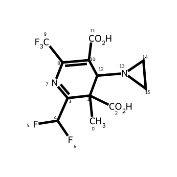 CC1(C(=O)O)C(C(F)F)=NC(C(F)(F)F)=C(C(=O)O)C1N1CC1